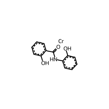 O=C(Nc1ccccc1O)c1ccccc1O.[Cr]